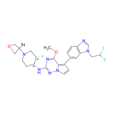 [2H]C1(N2CC[C@@H](Nc3nc(OC)c4c(-c5ccc6ncn(CC(F)F)c6c5)ccn4n3)[C@@H](F)C2)COC1